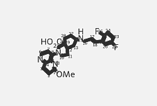 COc1ccc2nccc(N3CCC4CC(NCC=Cc5cc(F)ccc5F)CCC4(C(=O)O)C3)c2n1